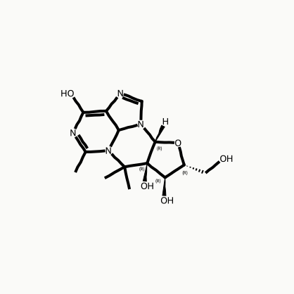 CC1=NC(O)=C2N=CN3C2N1C(C)(C)[C@@]1(O)[C@H](O)[C@@H](CO)O[C@@H]31